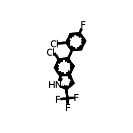 Fc1ccc(-c2cc3cc(C(F)(F)F)[nH]c3cc2Cl)c(Cl)c1